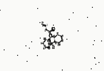 C=CCC(=O)OC1CCCCC1C1(C)SCCCS1